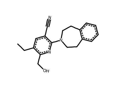 CCc1cc(C#N)c(N2CCc3ccccc3CC2)nc1CO